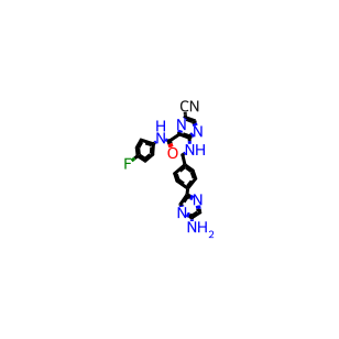 N#Cc1cnc(NCc2ccc(-c3cnc(N)cn3)cc2)c(C(=O)Nc2ccc(F)cc2)n1